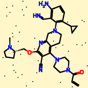 C=CC(=O)N1CCN(c2c(C#N)c(OC[C@@H]3CCCN3C)nc3c2CCN(c2c(C4CC4)ccc(N)c2C=N)C3)CC1